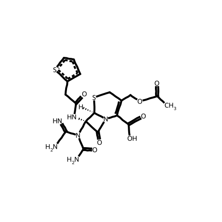 CC(=O)OCC1=C(C(=O)O)N2C(=O)[C@@](NC(=O)Cc3cccs3)(N(C(=N)N)C(N)=O)[C@H]2SC1